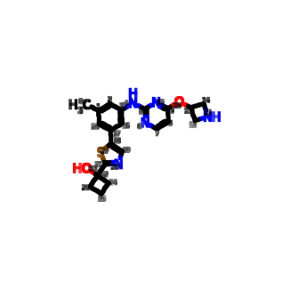 Cc1cc(Nc2nccc(OC3CNC3)n2)cc(-c2cnc(C3(O)CCC3)s2)c1